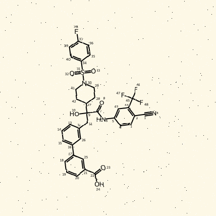 N#Cc1ccc(NC(=O)C(O)(Cc2cccc(-c3cccc(C(=O)O)c3)c2)C2CCN(S(=O)(=O)c3ccc(F)cc3)CC2)cc1C(F)(F)F